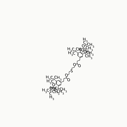 CC(C)(C)OC(=O)Oc1c(C(C)(C)C)cc(CCC(=O)OCCSCCOC(=O)CCc2cc(C(C)(C)C)c(OC(=O)OC(C)(C)C)c(C(C)(C)C)c2)cc1C(C)(C)C